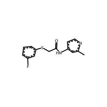 Cc1cc(NC(=O)CSc2cccc(F)c2)ccn1